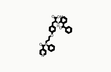 COC(=O)C(Cc1ccc(OCCCN(C(=O)c2ccncc2)c2ccccc2)cc1)Nc1ccccc1C(=O)c1ccccc1